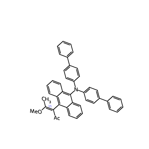 CO/C(C)=C(\C(C)=O)c1c2ccccc2c(N(c2ccc(-c3ccccc3)cc2)c2ccc(-c3ccccc3)cc2)c2ccccc12